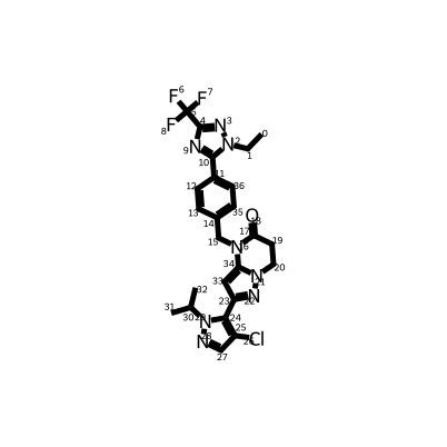 CCn1nc(C(F)(F)F)nc1-c1ccc(CN2C(=O)CCn3nc(-c4c(Cl)cnn4C(C)C)cc32)cc1